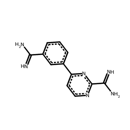 N=C(N)c1cccc(-c2ccnc(C(=N)N)n2)c1